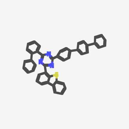 c1ccc(-c2ccc(-c3ccc(-c4nc(-c5ccccc5-c5ccccc5)nc(-c5cccc6c5sc5ccccc56)n4)cc3)cc2)cc1